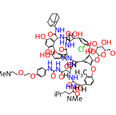 CNCCOCCOc1ccc(NC(=O)NC(=O)C[C@@H]2NC(=O)[C@H](NC(=O)[C@@H](CC(C)C)NC)[C@H](O)c3ccc(c(C)c3)Oc3cc4cc(c3O[C@@H]3O[C@H](CO)[C@@H](O)[C@H](O)[C@H]3O)Oc3ccc(cc3Cl)[C@@H](O)[C@@H]3NC(=O)[C@H](NC(=O)[C@@H]4NC2=O)c2ccc(O)c(c2)-c2c(O)cc(O)cc2[C@@H](C(=O)NC2C4CC5CC(C4)CC2C5)NC3=O)cc1